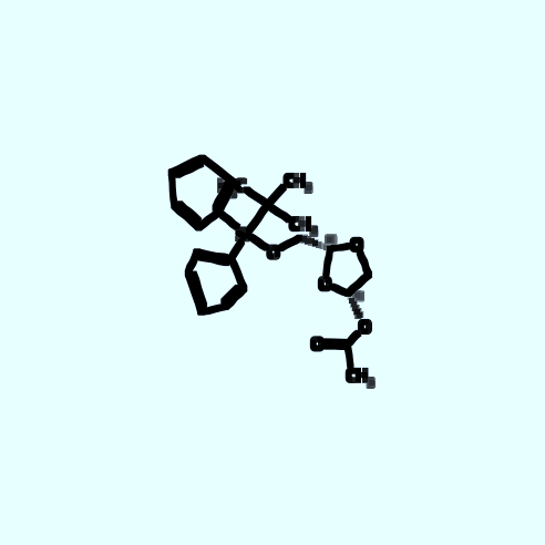 CC(=O)O[C@H]1CO[C@@H](CO[Si](c2ccccc2)(c2ccccc2)C(C)(C)C)O1